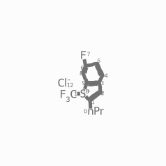 CCCc1cc2ccc(F)cc2[s+]1C(F)(F)F.[Cl-]